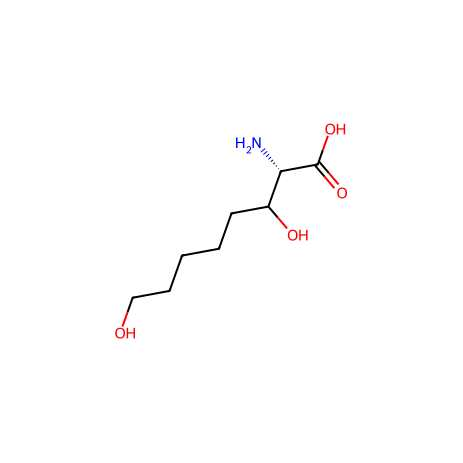 N[C@H](C(=O)O)C(O)CCCCCO